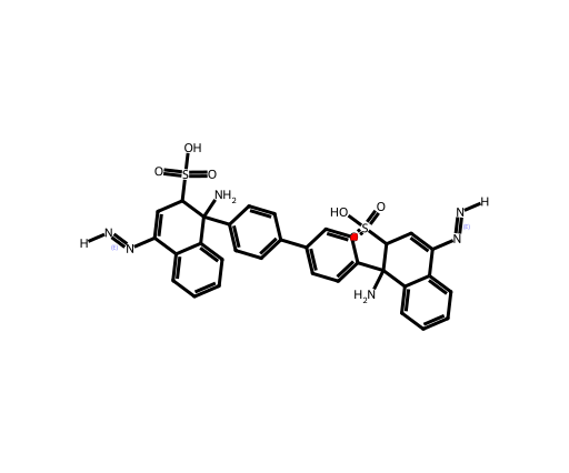 [H]/N=N/C1=CC(S(=O)(=O)O)C(N)(c2ccc(-c3ccc(C4(N)c5ccccc5C(/N=N/[H])=CC4S(=O)(=O)O)cc3)cc2)c2ccccc21